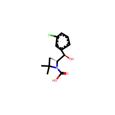 CC1(C)C[C@H]([C@H](O)c2cccc(Cl)c2)N1C(=O)O